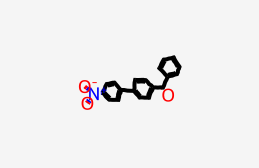 O=C(c1ccccc1)c1ccc(-c2ccc([N+](=O)[O-])cc2)cc1